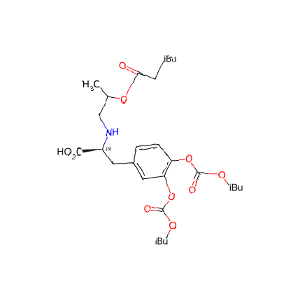 CCC(C)CC(=O)OC(C)CN[C@@H](Cc1ccc(OC(=O)OC(C)CC)c(OC(=O)OC(C)CC)c1)C(=O)O